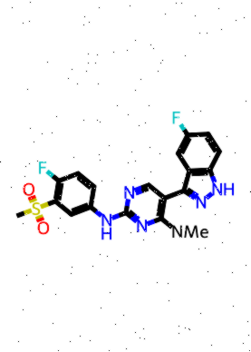 CNc1nc(Nc2ccc(F)c(S(C)(=O)=O)c2)ncc1-c1n[nH]c2ccc(F)cc12